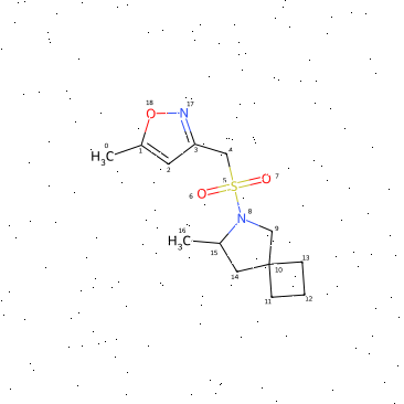 Cc1cc(CS(=O)(=O)N2CC3(CCC3)CC2C)no1